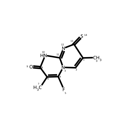 Cc1cn2c(F)c(C)c(=O)[nH]c2nc1=S